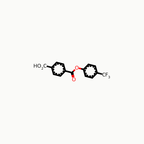 O=C(O)c1ccc(C(=O)Oc2ccc(C(F)(F)F)cc2)cc1